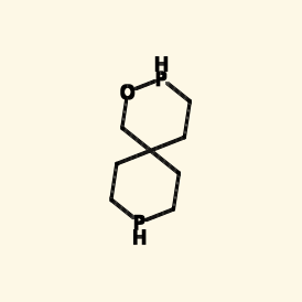 C1CC2(CCP1)CCPOC2